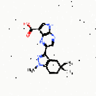 Cn1nc(-c2cnc3[nH]cc(C(=O)O)c3n2)c2c1CCC(C)(C)C2